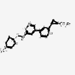 CCOC(=O)[C@@H]1CC1c1cc(-c2cnnc(OC[C@H]3CC[C@H](C(F)(F)F)CC3)c2)ccn1